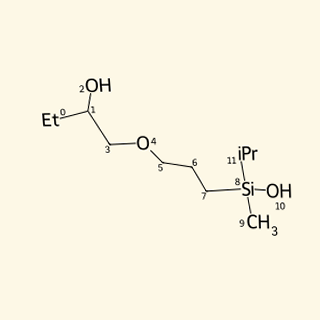 CCC(O)COCCC[Si](C)(O)C(C)C